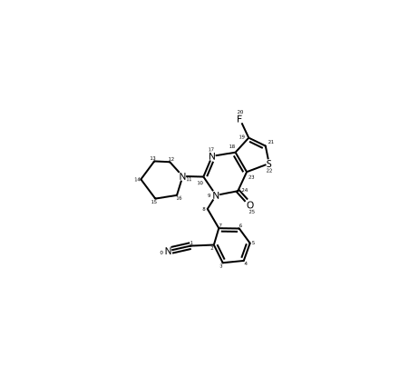 N#Cc1ccccc1Cn1c(N2CCCCC2)nc2c(F)csc2c1=O